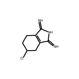 N=C1NC(=N)C2=C1CCC(Cl)C2